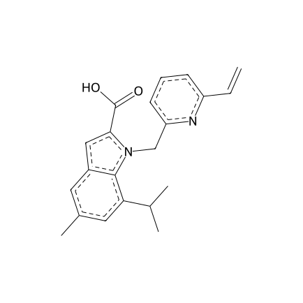 C=Cc1cccc(Cn2c(C(=O)O)cc3cc(C)cc(C(C)C)c32)n1